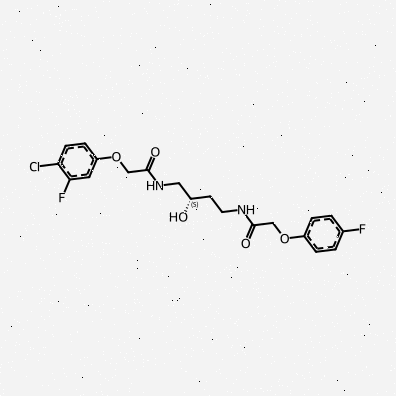 O=C(COc1ccc(F)cc1)NCC[C@H](O)CNC(=O)COc1ccc(Cl)c(F)c1